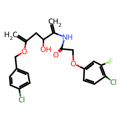 C=C(CC(O)C(=C)NC(=O)COc1ccc(Cl)c(F)c1)OCc1ccc(Cl)cc1